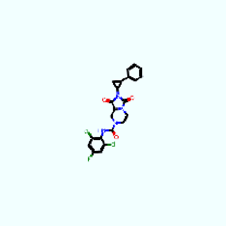 O=C(Nc1c(Cl)cc(F)cc1Cl)N1CCN2C(=O)N(C3CC3c3ccccc3)C(=O)C2C1